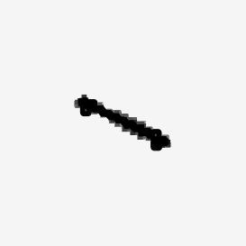 C=CC(=O)OCCCCCCCCCCCCCCCOC(=O)C=C